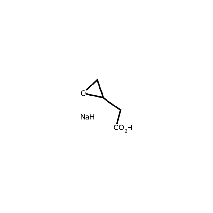 O=C(O)CC1CO1.[NaH]